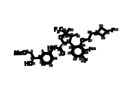 COC[C@@H](O)c1cc(NC(=O)[C@@H]2O[C@@](C)(C(F)(F)F)[C@@H](C)[C@H]2c2ccc(F)c(F)c2OCCN2CC(F)C2)ccn1